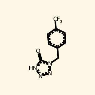 O=c1[nH]nnn1Cc1ccc(C(F)(F)F)cc1